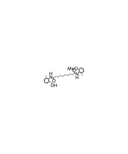 COc1cccc(C)c1NC(=O)CCCCCCCCC(=O)Nc1c(C)cccc1CO